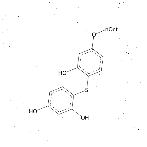 CCCCCCCCOc1ccc(Sc2ccc(O)cc2O)c(O)c1